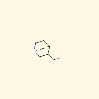 Cl.OCC1CN2CCC1CC2